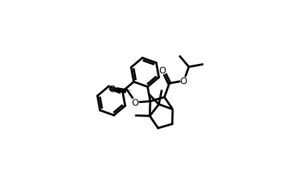 CC(C)OC(=O)C1C2CCC(C)(C2(C)C)C1(O[C]=O)c1ccccc1-c1ccccc1